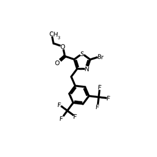 CCOC(=O)c1sc(Br)nc1Cc1cc(C(F)(F)F)cc(C(F)(F)F)c1